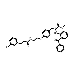 COC(=O)[C@H](Cc1ccc(OCCNC(=O)CCc2cccc(Cl)c2)cc1)Nc1ccccc1C(=O)c1ccccc1